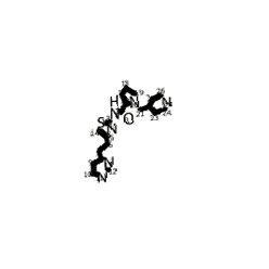 O=C(Nc1nc(/C=C/c2ccncn2)cs1)c1cccn1Cc1ccncc1